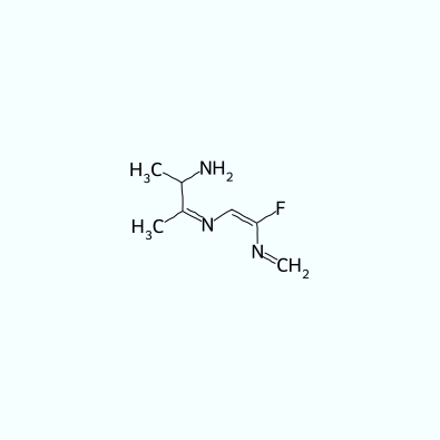 C=N/C(F)=C\N=C(\C)C(C)N